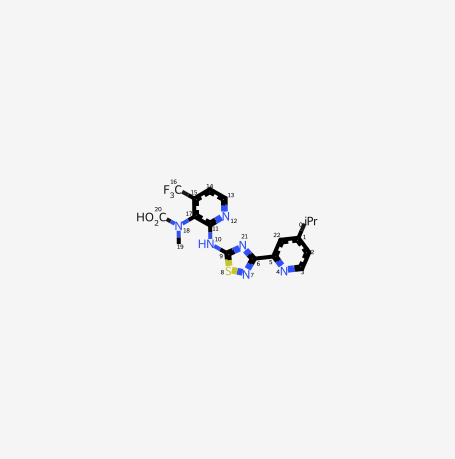 CC(C)c1ccnc(-c2nsc(Nc3nccc(C(F)(F)F)c3N(C)C(=O)O)n2)c1